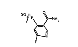 CS(=O)(=O)O.NC(=O)c1ccc(F)cc1F